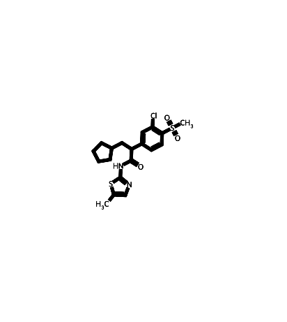 Cc1cnc(NC(=O)C(CC2CCCC2)c2ccc(S(C)(=O)=O)c(Cl)c2)s1